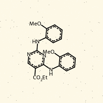 CCOC(=O)c1cnc(Nc2ccccc2OC)nc1Nc1ccccc1OC